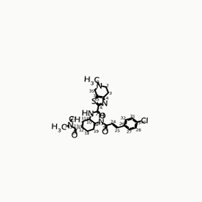 CN1CCc2nc(C(=O)N[C@@H]3C[C@@H](C(=O)N(C)C)CC[C@@H]3NC(=O)C=Cc3ccc(Cl)cc3)sc2C1